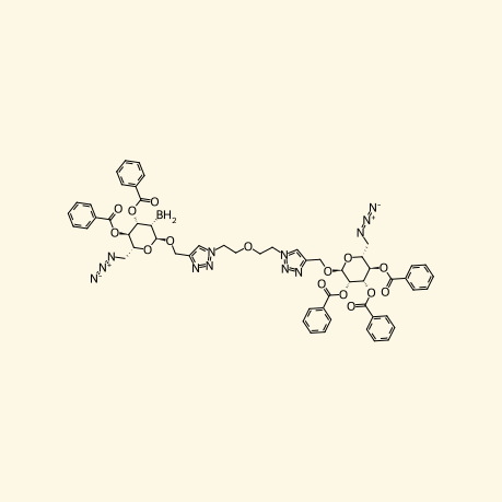 B[C@@H]1[C@@H](OCc2cn(CCOCCn3cc(CO[C@H]4O[C@H](CN=[N+]=[N-])[C@@H](OC(=O)c5ccccc5)[C@H](OC(=O)c5ccccc5)[C@@H]4OC(=O)c4ccccc4)nn3)nn2)O[C@H](CN=[N+]=[N-])[C@@H](OC(=O)c2ccccc2)[C@@H]1OC(=O)c1ccccc1